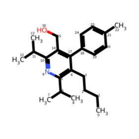 CCCCc1c(C(C)C)nc(C(C)C)c(CO)c1-c1ccc(C)cc1